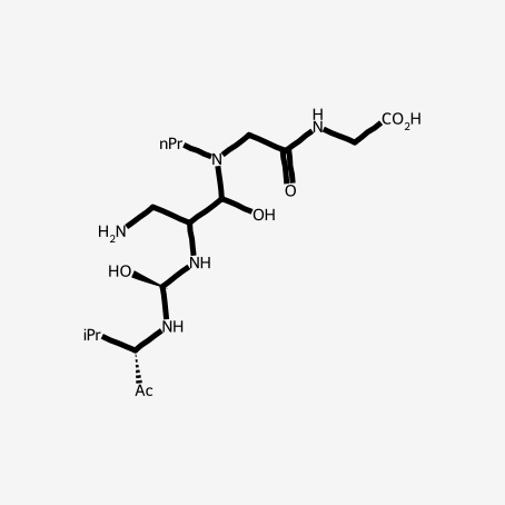 CCCN(CC(=O)NCC(=O)O)C(O)C(CN)N[C@H](O)N[C@H](C(C)=O)C(C)C